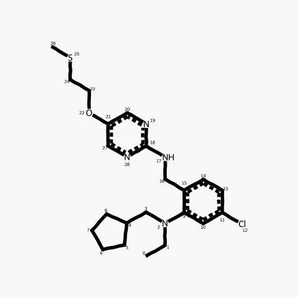 CCN(CC1CCCC1)c1cc(Cl)ccc1CNc1ncc(OCCSC)cn1